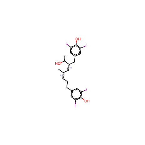 CC(=C/CCc1cc(I)c(O)c(I)c1)/C=C(/Cc1cc(I)c(O)c(I)c1)C(C)O